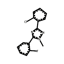 Cn1nc(-c2ccccc2Cl)nc1-c1ccccc1F